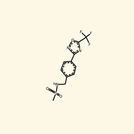 CS(=O)(=O)NCc1ccc(-c2noc(C(F)(F)F)n2)cc1